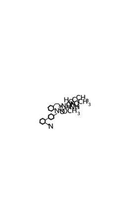 CC(C)(C)OC(=O)NC(C)(C)C(=O)N[C@@H]1CCc2ccccc2N(Cc2ccc(-c3ccccc3C#N)cc2)C1=O